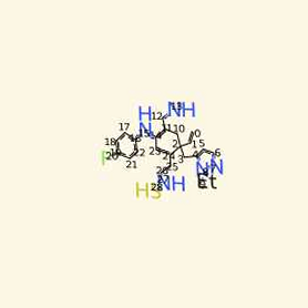 C=CC1(Cc2ccnn2CC)CC(C=N)=C(Nc2ccc(F)cc2)C=C1CCNS